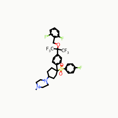 CN1CCN(C2CCC(c3ccc(C(OCc4c(F)cccc4F)(C(F)(F)F)C(F)(F)F)cc3)(S(=O)(=O)c3ccc(F)cc3)CC2)CC1